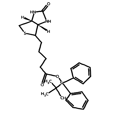 CC(C)(C)[Si](OC(=O)CCCCC1SC[C@@H]2NC(=O)N[C@H]12)(c1ccccc1)c1ccccc1